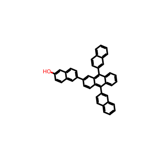 Oc1ccc2cc(-c3ccc4c(-c5ccc6ccccc6c5)c5ccccc5c(-c5ccc6ccccc6c5)c4c3)ccc2c1